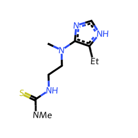 CCc1[nH]cnc1N(C)CCNC(=S)NC